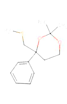 CSCC1(c2ccccc2)CCOC(C)(C)O1